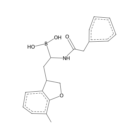 Cc1cccc2c1OCC2CC(NC(=O)Cc1ccccc1)B(O)O